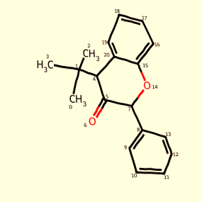 CC(C)(C)C1C(=O)C(c2ccccc2)Oc2ccccc21